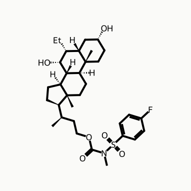 CC[C@H]1[C@@H](O)[C@@H]2[C@H](CC[C@]3(C)[C@@H]([C@H](C)CCOC(=O)N(C)S(=O)(=O)c4ccc(F)cc4)CC[C@@H]23)[C@@]2(C)CC[C@@H](O)C[C@@H]12